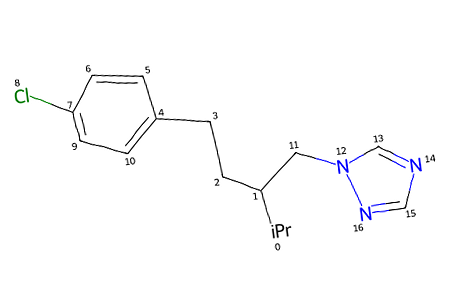 CC(C)C(CCc1ccc(Cl)cc1)Cn1cncn1